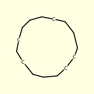 [CH]1CCCCC[CH]CCCCCCCC1